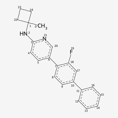 CC1(Nc2ccc(-c3ccc(-c4ccccc4)cc3F)cn2)CCC1